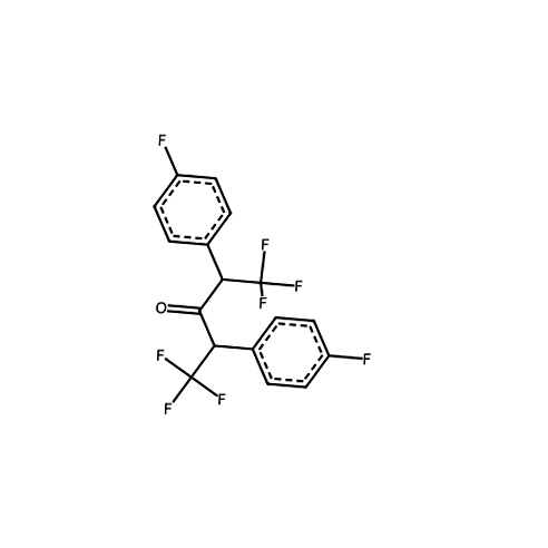 O=C(C(c1ccc(F)cc1)C(F)(F)F)C(c1ccc(F)cc1)C(F)(F)F